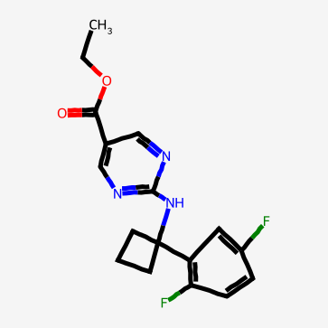 CCOC(=O)c1cnc(NC2(c3cc(F)ccc3F)CCC2)nc1